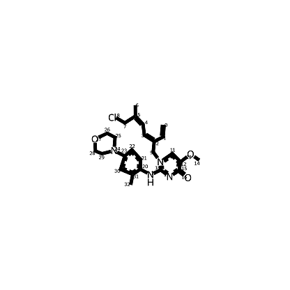 C=C/C(=C\C=C(\C)CCl)Cn1cc(OC)c(=O)nc1Nc1ccc(N2CCOCC2)cc1C